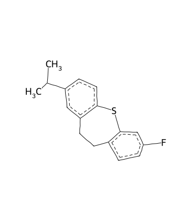 CC(C)c1ccc2c(c1)CCc1ccc(F)cc1S2